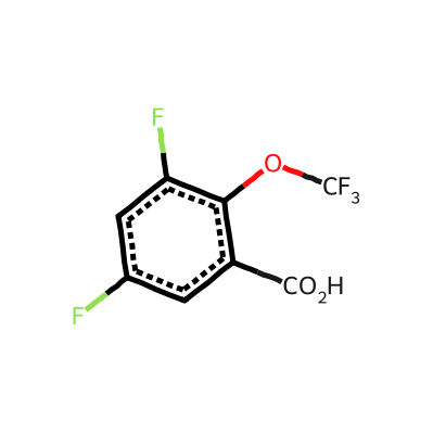 O=C(O)c1cc(F)cc(F)c1OC(F)(F)F